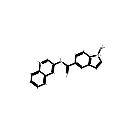 CCCn1ccc2cc(C(=O)Nc3cnc4ccccc4c3)ccc21